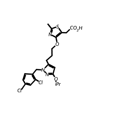 Cc1nc(OCCCc2cc(OC(C)C)nn2Cc2ccc(Cl)cc2Cl)c(CC(=O)O)s1